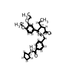 CCOc1cc(C2=NN(Cc3ccc(C(=O)NC4CCCC4)cc3)C(=O)CC2CC)ccc1OC